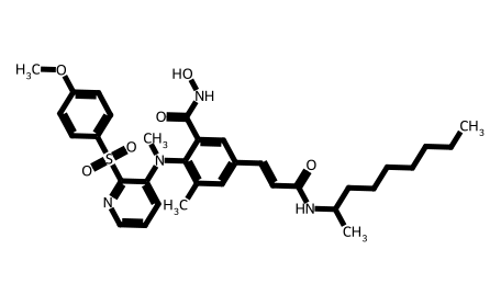 CCCCCCCC(C)NC(=O)C=Cc1cc(C)c(N(C)c2cccnc2S(=O)(=O)c2ccc(OC)cc2)c(C(=O)NO)c1